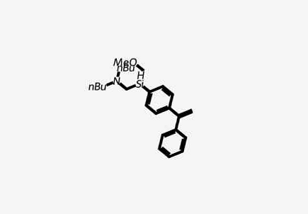 C=C(c1ccccc1)c1ccc([SiH](COC)CN(CCCC)CCCC)cc1